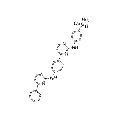 NS(=O)(=O)c1ccc(Nc2nccc(-c3ccc(Nc4nccc(-c5ccccc5)n4)cc3)n2)cc1